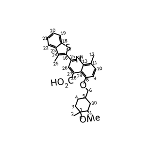 COC1(C)CCC(COc2ccc(C)c3nc(-c4sc5ccccc5c4C)cc(C(=O)O)c23)CC1